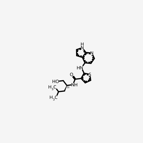 CC(C)C[C@@H](CO)NC(=O)c1ccsc1Nc1ccnc2[nH]ccc12